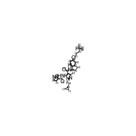 O=C(Nc1c2c(nn1CCC1CC1)C[C@]1(CCc3cc(OCCCC(F)(F)F)ccc31)NC2=O)c1ccno1